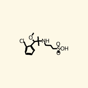 COC(c1ccccc1Cl)C(C)(C)NCCCS(=O)(=O)O